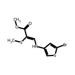 COC(=O)/C(=C/Nc1csc(Br)c1)SC